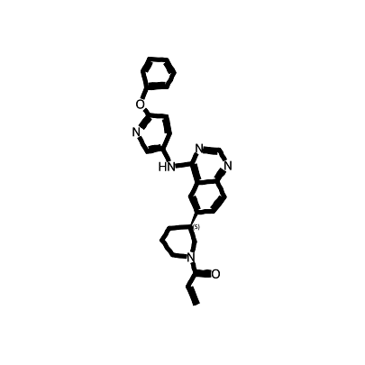 C=CC(=O)N1CCC[C@@H](c2ccc3ncnc(Nc4ccc(Oc5ccccc5)nc4)c3c2)C1